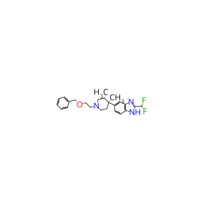 C[C@H]1CN(CCOCc2ccccc2)CC[C@]1(C)c1ccc2[nH]c(C(F)F)nc2c1